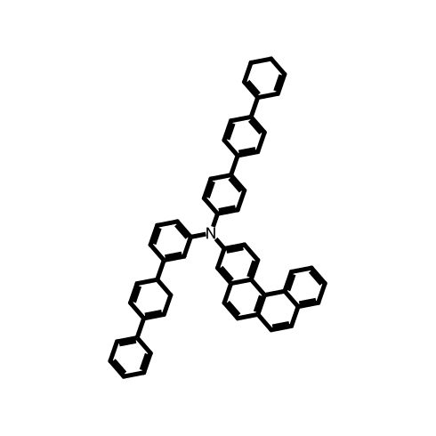 C1=CC(c2ccc(-c3ccc(N(c4cccc(C5C=CC(c6ccccc6)=CC5)c4)c4ccc5c(ccc6ccc7ccccc7c65)c4)cc3)cc2)=CCC1